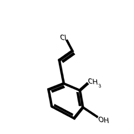 Cc1c(O)cccc1C=CCl